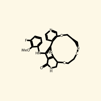 COc1c(F)cccc1Nc1c2[nH]c3c1C(=O)NCC3CCCCN1CC(COc3cnccc3-2)C1